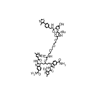 CCn1nc(C)cc1C(=O)Nc1nc2cc(C(N)=O)ccc2n1CCC(CCn1c(NC(=O)c2cc(C)nn2CC)nc2cc(C(N)=O)ccc21)OCC(=O)NCCOCCOCCOCC(=O)N[C@H](C(=O)N1C[C@H](O)C[C@H]1C(=O)NCc1ccc(-c2scnc2C)cc1)C(C)(C)C